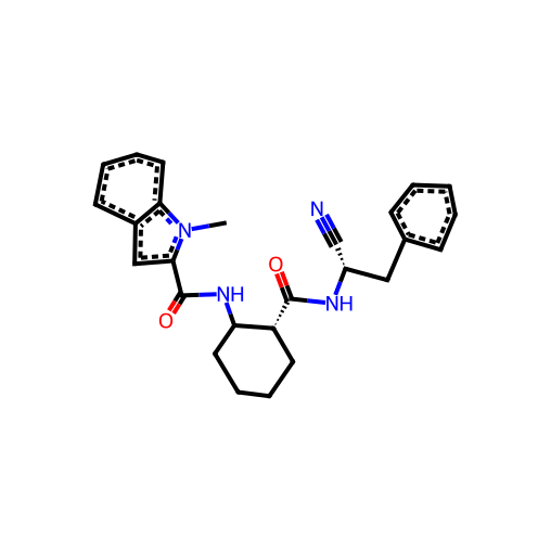 Cn1c(C(=O)NC2CCCC[C@H]2C(=O)N[C@H](C#N)Cc2ccccc2)cc2ccccc21